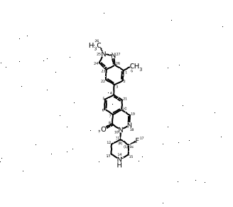 Cc1cc(-c2ccc3c(=O)n([C@@H]4CCNC[C@@H]4F)ncc3c2)cc2cn(C)nc12